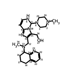 CN1CCN(C2NC=Cc3nc(CN(C)C4CCCc5cccnc54)c(CO)n32)CC1